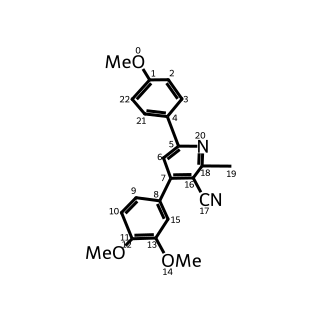 COc1ccc(-c2cc(-c3ccc(OC)c(OC)c3)c(C#N)c(C)n2)cc1